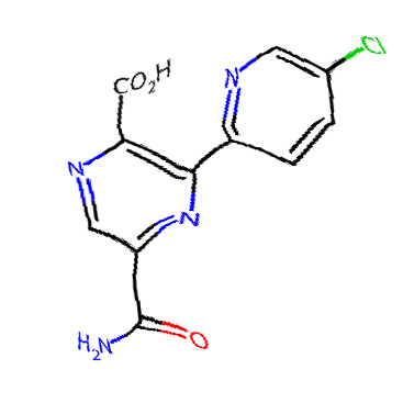 NC(=O)c1cnc(C(=O)O)c(-c2ccc(Cl)cn2)n1